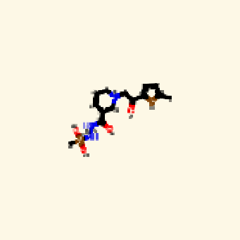 Cc1ccc(C(=O)CN2CC=CC(C(=O)NNS(C)(=O)=O)C2)s1